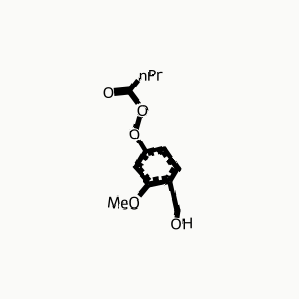 CCCC(=O)OOc1ccc(CO)c(OC)c1